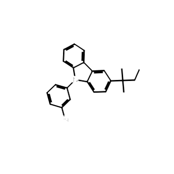 CCC(C)(C)c1ccc2c(c1)c1ccccc1n2-c1cccc(Br)c1